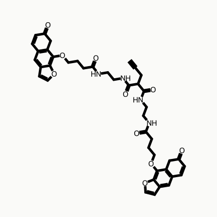 C#CCC(C(=O)NCCNC(=O)CCCOc1c2c(cc3ccoc13)C=CC(=O)C2)C(=O)NCCNC(=O)CCCOc1c2c(cc3ccoc13)C=CC(=O)C2